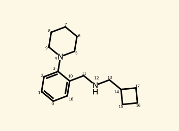 c1ccc(N2CCCCC2)c(CNCC2CCC2)c1